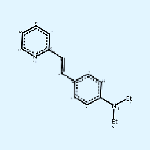 CCN(CC)c1ccc(C=Cc2ccccn2)cc1